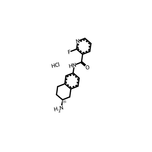 Cl.N[C@H]1CCc2cc(NC(=O)c3cccnc3F)ccc2C1